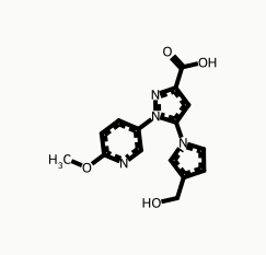 COc1ccc(-n2nc(C(=O)O)cc2-n2ccc(CO)c2)cn1